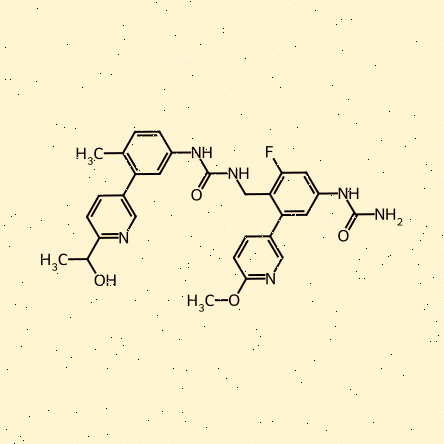 COc1ccc(-c2cc(NC(N)=O)cc(F)c2CNC(=O)Nc2ccc(C)c(-c3ccc(C(C)O)nc3)c2)cn1